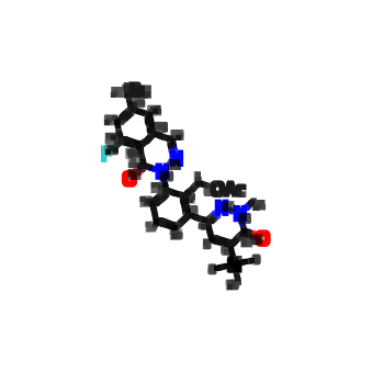 CC(=O)OCc1c(-c2cc([Si](C)(C)C)c(=O)n(C)n2)cccc1-n1ncc2cc(C(C)(C)C)cc(F)c2c1=O